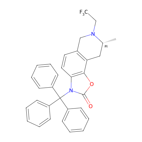 C[C@@H]1Cc2c(ccc3c2oc(=O)n3C(c2ccccc2)(c2ccccc2)c2ccccc2)CN1CC(F)(F)F